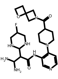 NC(N)C(C(=O)Nc1cnccc1N1CCC(C(=O)N2CC3(CCO3)C2)CC1)C1NCC(F)CN1